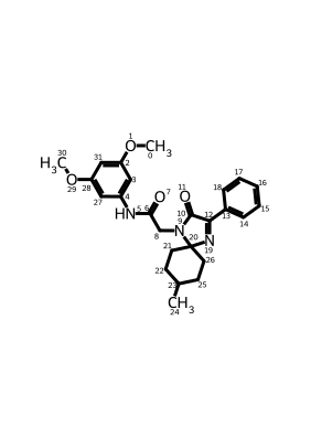 COc1cc(NC(=O)CN2C(=O)C(c3ccccc3)=NC23CCC(C)CC3)cc(OC)c1